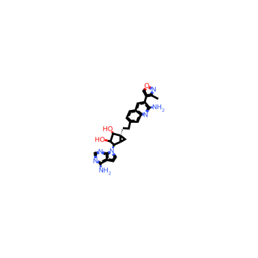 Cc1nocc1-c1cc2ccc(CC[C@]34CC3C(n3ccc5c(N)ncnc53)C(O)C4O)cc2nc1N